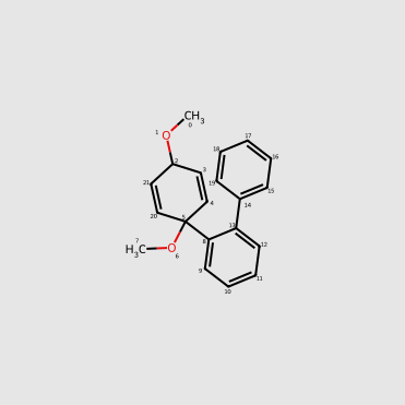 COC1C=CC(OC)(c2ccccc2-c2ccccc2)C=C1